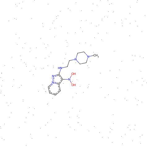 CN1CCN(CCNc2nn3ccccc3c2N(O)O)CC1